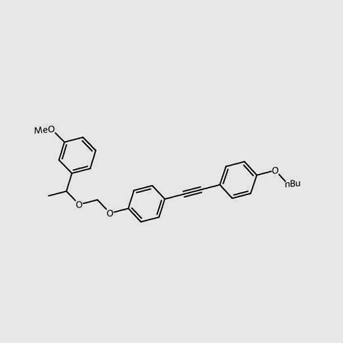 CCCCOc1ccc(C#Cc2ccc(OCOC(C)c3cccc(OC)c3)cc2)cc1